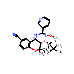 CON=C(N[C@@H]1c2cc(C#N)ccc2OC(C)(C)[C@H]1O[Si](C)(C)C(C)(C)C)c1cccnc1